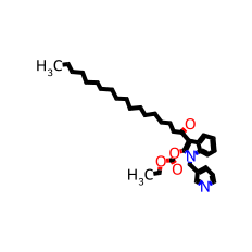 CCCCCCCCCCCCCCCCCC(=O)c1c(OC(=O)OCC)n(Cc2cccnc2)c2ccccc12